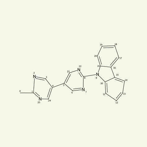 Cc1ncc(-c2cnc(-n3c4ccccc4c4ccccc43)nc2)cn1